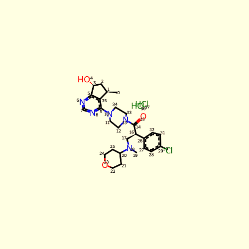 C[C@@H]1C[C@@H](O)c2ncnc(N3CCN(C(=O)[C@H](CN(C)C4CCOCC4)c4ccc(Cl)cc4)CC3)c21.Cl.Cl